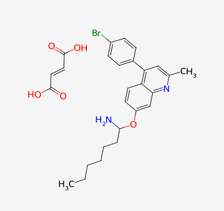 CCCCCCC(N)Oc1ccc2c(-c3ccc(Br)cc3)cc(C)nc2c1.O=C(O)/C=C/C(=O)O